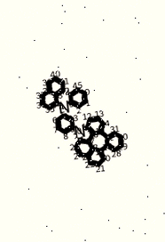 c1ccc(N(c2cccc(-n3c4cccc5c4c4c6c(cccc6ccc43)-c3ccccc3-5)c2)c2cccc3ccccc23)cc1